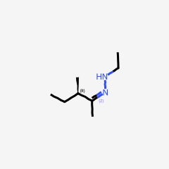 CCN/N=C(/C)[C@H](C)CC